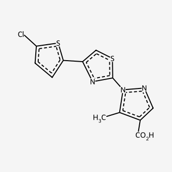 Cc1c(C(=O)O)cnn1-c1nc(-c2ccc(Cl)s2)cs1